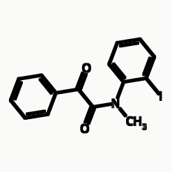 CN(C(=O)C(=O)c1ccccc1)c1ccccc1I